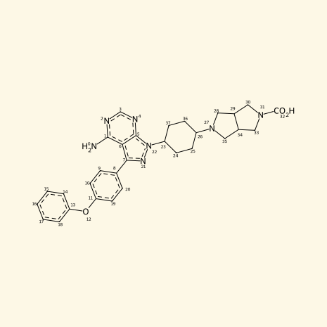 Nc1ncnc2c1c(-c1ccc(Oc3ccccc3)cc1)nn2C1CCC(N2CC3CN(C(=O)O)CC3C2)CC1